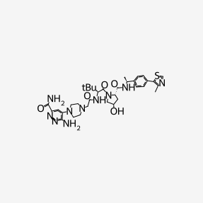 Cc1ncsc1-c1ccc([C@H](C)NC(=O)[C@@H]2C[C@@H](O)CN2C(=O)[C@@H](NC(=O)CN2CCN(c3cc(C(N)=O)nnc3N)CC2)C(C)(C)C)cc1